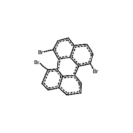 Brc1ccc2cccc3c4c(Br)ccc5ccc(Br)c(c1c23)c54